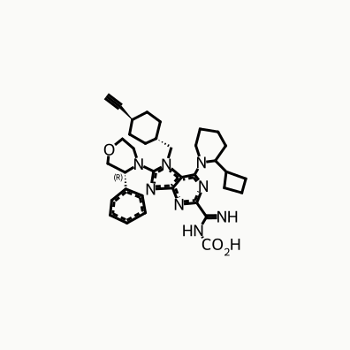 C#C[C@H]1CC[C@H](Cn2c(N3CCOC[C@H]3c3ccccc3)nc3nc(C(=N)NC(=O)O)nc(N4CCCCC4C4CCC4)c32)CC1